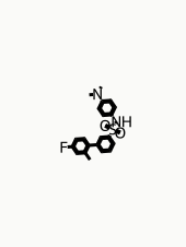 Cc1cc(F)ccc1-c1cccc(S(=O)(=O)Nc2ccc(N(C)C)cc2)c1